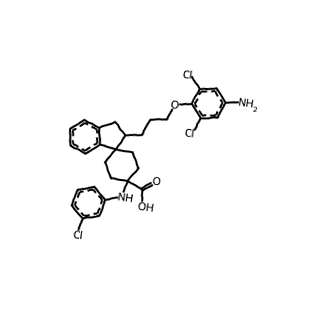 Nc1cc(Cl)c(OCCCC2Cc3ccccc3C23CCC(Nc2cccc(Cl)c2)(C(=O)O)CC3)c(Cl)c1